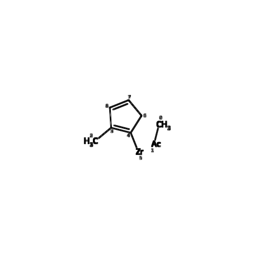 CC(C)=O.CC1=[C]([Zr])CC=C1